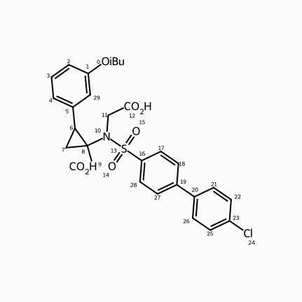 CC(C)COc1cccc(C2CC2(C(=O)O)N(CC(=O)O)S(=O)(=O)c2ccc(-c3ccc(Cl)cc3)cc2)c1